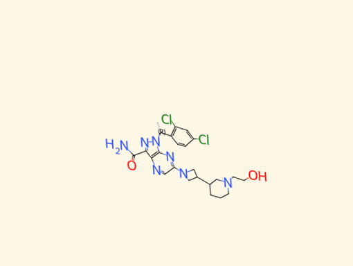 C[C@H](c1ccc(Cl)cc1Cl)n1nc(C(N)=O)c2ncc(N3CC(C4CCCN(CCO)C4)C3)nc21